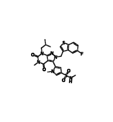 CNS(=O)(=O)c1cc(-c2c3c(=O)n(C)c(=O)n(CC(C)C)c3nn2Cc2csc3ccc(F)cc23)n(C)c1